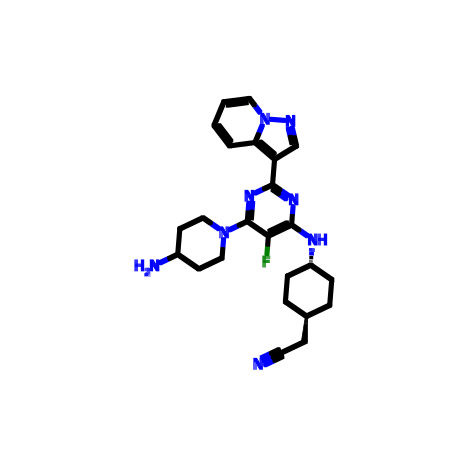 N#CC[C@H]1CC[C@H](Nc2nc(-c3cnn4ccccc34)nc(N3CCC(N)CC3)c2F)CC1